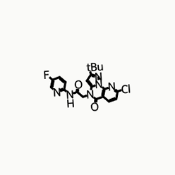 CC(C)(C)c1cc2n(CC(=O)Nc3ccc(F)cn3)c(=O)c3ccc(Cl)nc3n2n1